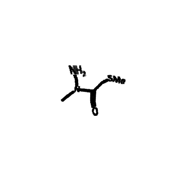 CSC(=O)N(C)N